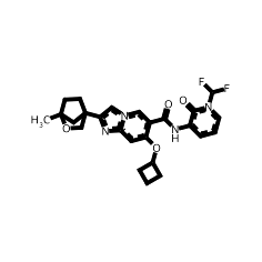 CC12CCC(c3cn4cc(C(=O)Nc5cccn(C(F)F)c5=O)c(OC5CCC5)cc4n3)(CO1)C2